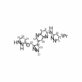 CC(C)c1cnnc(Nc2ccc3ncc(-c4cn(C)nc4COC4=CC=CNN4)cc3n2)c1